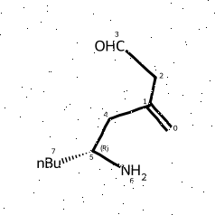 C=C(CC=O)C[C@H](N)CCCC